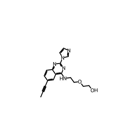 CC#Cc1ccc2nc(-n3ccnc3)nc(NCCOCCO)c2c1